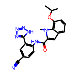 CC(C)Oc1cccc2cc(C(=O)Nc3ccc(C#N)cc3-c3nnn[nH]3)n(C)c12